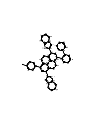 Cc1ccc(-c2cc(-c3cc4ccccc4o3)c3ccc4c(-c5ccccc5-c5ccccc5)cc(-c5cc6ccccc6o5)c5ccc2c3c54)cc1